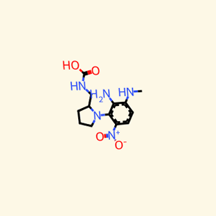 CNc1ccc([N+](=O)[O-])c(N2CCCC2CNC(=O)O)c1N